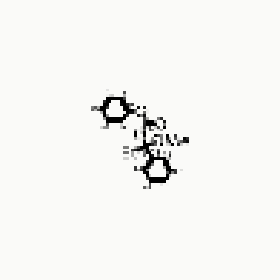 CCC(OC)(OC(=O)Oc1ccccc1)c1ccccc1